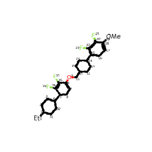 CCC1CCC(C2CC=C(OCC3CCC(C4CC=C(OC)C(F)=C4F)CC3)C(F)=C2F)CC1